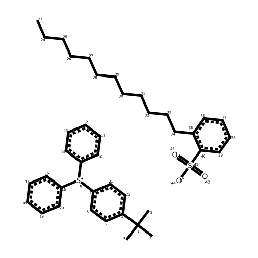 CC(C)(C)c1ccc([S+](c2ccccc2)c2ccccc2)cc1.CCCCCCCCCCCCc1ccccc1S(=O)(=O)[O-]